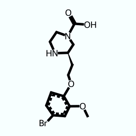 COc1cc(Br)ccc1OCC[C@@H]1CN(C(=O)O)CCN1